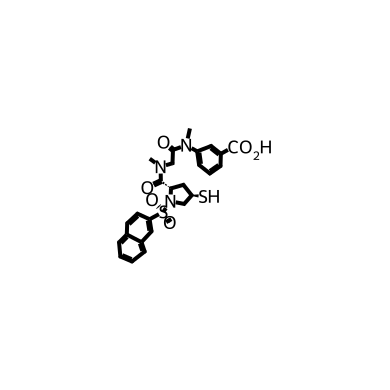 CN(CC(=O)N(C)c1cccc(C(=O)O)c1)C(=O)[C@@H]1C[C@@H](S)CN1S(=O)(=O)c1ccc2ccccc2c1